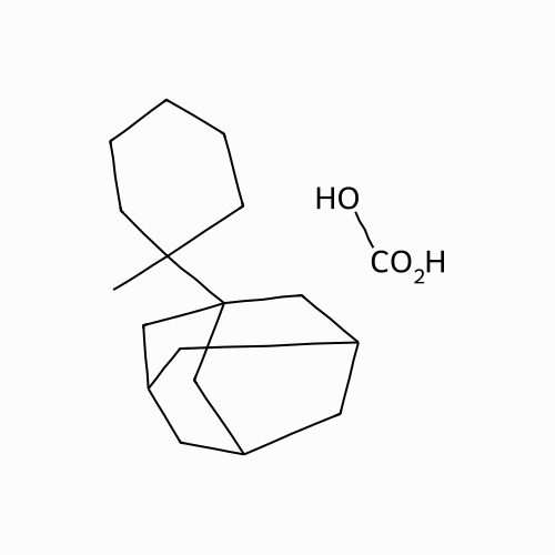 CC1(C23CC4CC(CC(C4)C2)C3)CCCCC1.O=C(O)O